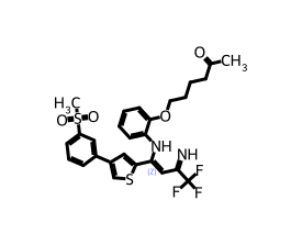 CC(=O)CCCCOc1ccccc1N/C(=C\C(=N)C(F)(F)F)c1cc(-c2cccc(S(C)(=O)=O)c2)cs1